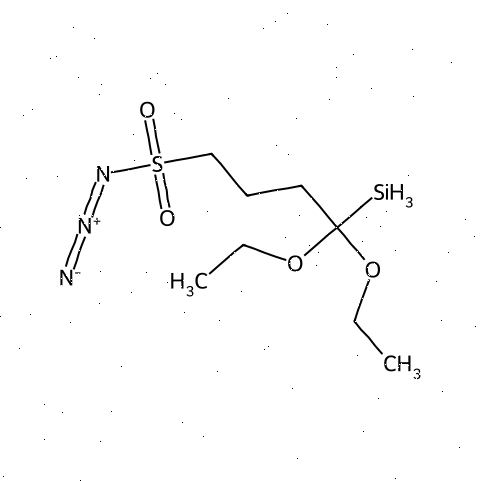 CCOC([SiH3])(CCCS(=O)(=O)N=[N+]=[N-])OCC